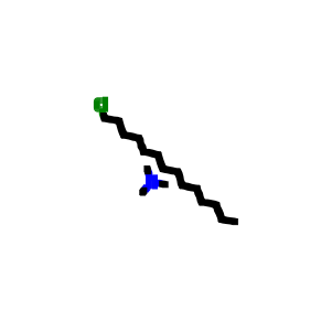 CCCCCCCCCCCCCCCl.CN(C)C